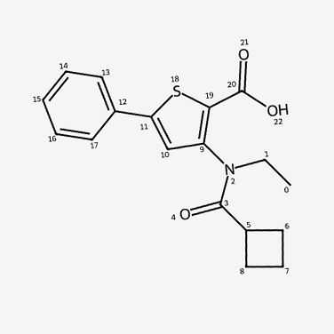 CCN(C(=O)C1CCC1)c1cc(-c2ccccc2)sc1C(=O)O